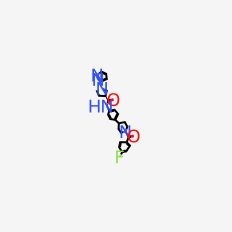 O=C(Nc1ccc(C2CCN(C(=O)c3ccc(F)cc3)CC2)cc1)[C@H]1CCN(c2cccnn2)C1